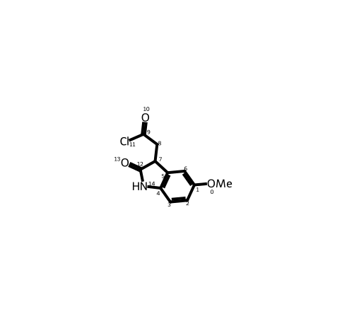 COc1ccc2c(c1)C(CC(=O)Cl)C(=O)N2